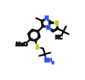 COc1ccc(-c2c(C)nc3sc(C(C)(C)C#N)cn23)cc1SCC(C)(C)N